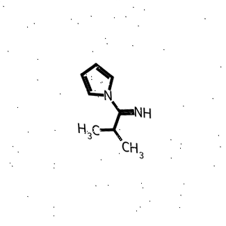 CC(C)C(=N)n1cccc1